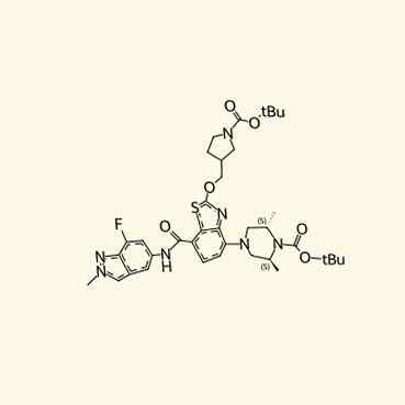 C[C@H]1CN(c2ccc(C(=O)Nc3cc(F)c4nn(C)cc4c3)c3sc(OCC4CCN(C(=O)OC(C)(C)C)C4)nc23)C[C@H](C)N1C(=O)OC(C)(C)C